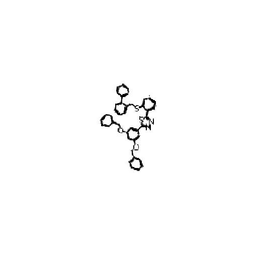 [c]1ccc(-c2nnc(-c3cc(OCc4ccccc4)cc(OCc4ccccc4)c3)s2)c(SCc2ccccc2-c2ccccc2)c1